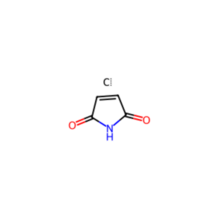 O=C1C=CC(=O)N1.[C]